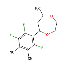 N#Cc1c(F)c(F)c(C2CC(C(F)(F)F)OCCO2)c(F)c1C#N